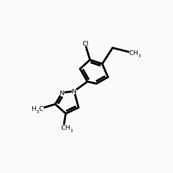 CCc1ccc(-n2cc(C)c(C)n2)cc1Cl